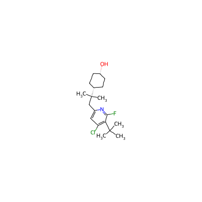 CC(C)(C)c1c(Cl)cc(CC(C)(C)[C@H]2CC[C@@H](O)CC2)nc1F